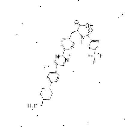 CC[C@H]1CC[C@H](c2ccc(-c3cnc(-c4ccc(C[C@H](NC(=O)c5ccc(C(F)(F)F)s5)C(=O)O)cc4)nc3)cc2)CC1